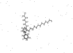 CCCCCCCCCCCCCC1N(CCCCCCC)C=CN1c1ccccc1